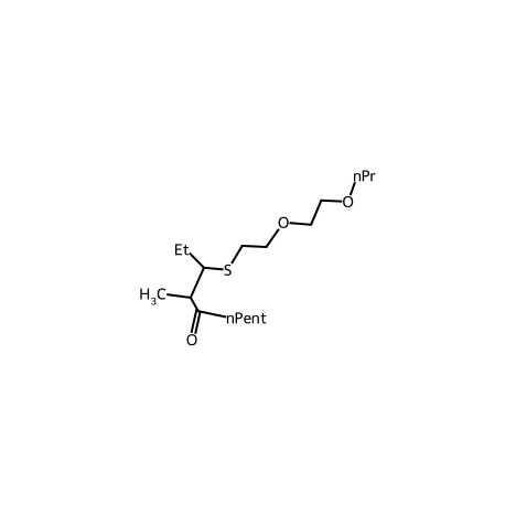 CCCCCC(=O)C(C)C(CC)SCCOCCOCCC